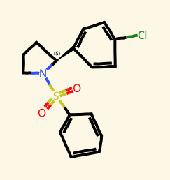 O=S(=O)(c1ccccc1)N1CCC[C@H]1c1ccc(Cl)cc1